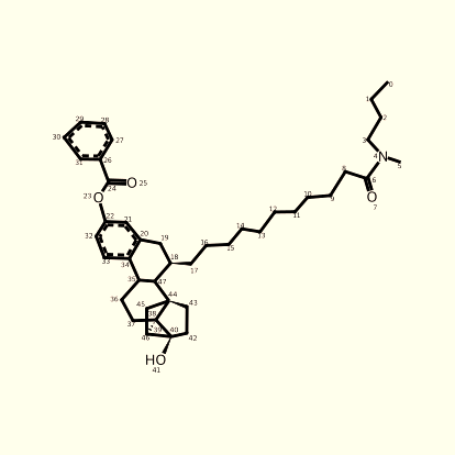 CCCCN(C)C(=O)CCCCCCCCCC[C@@H]1Cc2cc(OC(=O)c3ccccc3)ccc2C2CC[C@]3(C)[C@]4(O)CC[C@@]3(CC4)C21